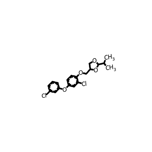 CC(C)C1OCC(COc2ccc(Oc3cccc(Cl)c3)cc2Cl)O1